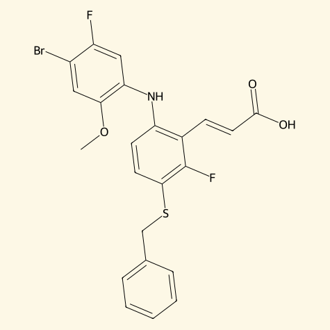 COc1cc(Br)c(F)cc1Nc1ccc(SCc2ccccc2)c(F)c1C=CC(=O)O